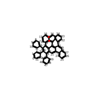 c1ccc(-c2c(-c3ccccc3)c(-c3ccccc3)c3c(cc4c5ccccc5cc5c6cccc7cccc(c76)c3c45)c2-c2ccccc2)cc1